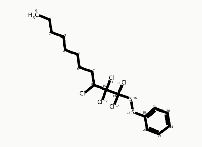 CCCCCCCCC(Cl)C(Cl)(Cl)C(Cl)(Cl)SSc1ccccc1